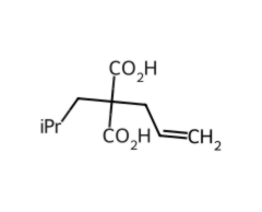 C=CCC(CC(C)C)(C(=O)O)C(=O)O